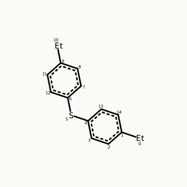 CCc1ccc(Sc2ccc(CC)cc2)cc1